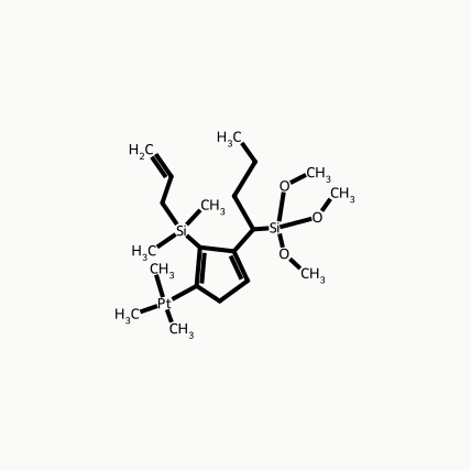 C=CC[Si](C)(C)C1=[C]([Pt]([CH3])([CH3])[CH3])CC=C1C(CCC)[Si](OC)(OC)OC